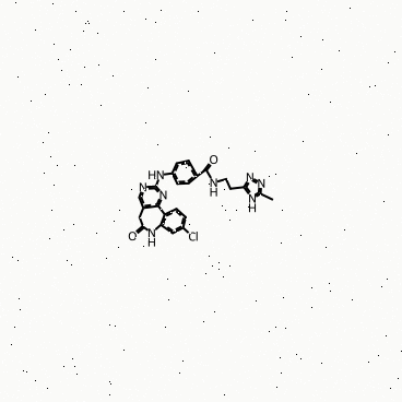 Cc1nnc(CCNC(=O)c2ccc(Nc3ncc4c(n3)-c3ccc(Cl)cc3NC(=O)C4)cc2)[nH]1